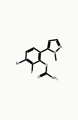 Cn1nccc1-c1ccc(Br)c(F)c1OC(N)=O